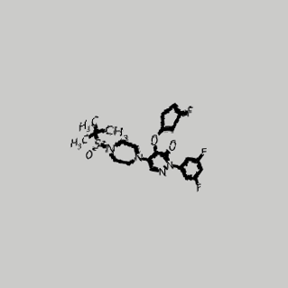 CC(C)(C)[S+]([O-])N1CCN(c2cnn(-c3cc(F)cc(F)c3)c(=O)c2OC2CCC(F)C2)CC1